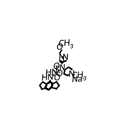 COCCn1cc(N(C2CCN(C)CC2)S(=O)(=O)NC(=O)Nc2c3c(cc4c2CCC4)CCC3)cn1.[Na]